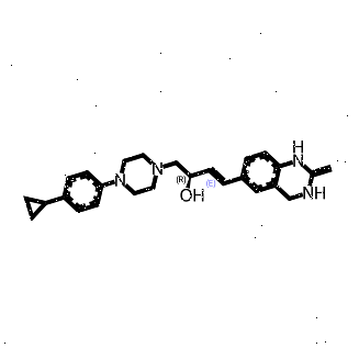 C=C1NCc2cc(/C=C/[C@@H](O)CN3CCN(c4ccc(C5CC5)cc4)CC3)ccc2N1